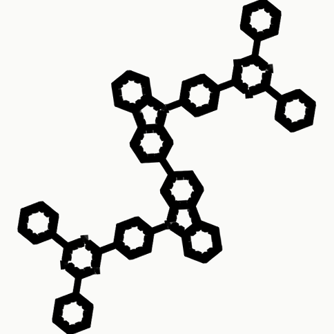 c1ccc(-c2nc(-c3ccccc3)nc(-c3ccc(-n4c5ccccc5c5ccc(-c6ccc7c8ccccc8n(-c8ccc(-c9nc(-c%10ccccc%10)nc(-c%10ccccc%10)n9)cc8)c7c6)cc54)cc3)n2)cc1